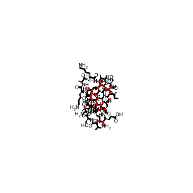 CC[C@H](C)[C@H](NC(=O)[C@H](CO)NC(=O)[C@@H](N)CCC(=O)O)C(=O)N[C@@H](CO)C(=O)N[C@@H](CC(C)C)C(=O)N[C@@H](CC(C)C)C(=O)N[C@@H](CCC(=O)O)C(=O)N[C@H](C(=O)N[C@@H](CO)C(=O)N[C@H](C(=O)N[C@@H](CC(C)C)C(=O)NCC(=O)N[C@@H](CCCCN)C(=O)N[C@@H](C)C(=O)N[C@@H](CCCCN)C(=O)N[C@H](C(=O)N[C@@H](CCC(=O)O)C(=O)N1CCC[C@H]1C(=O)N[C@@H](CC(N)=O)C(=O)N[C@@H](CCCCN)C(=O)O)[C@@H](C)O)[C@@H](C)O)C(C)C